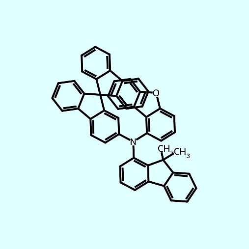 CC1(C)c2ccccc2-c2cccc(N(c3ccc4c(c3)C3(c5ccccc5-c5ccccc53)c3ccccc3-4)c3cccc4oc5ccccc5c34)c21